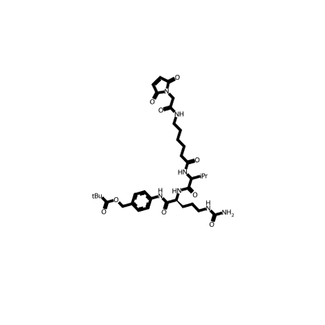 CC(C)C(NC(=O)CCCCCNC(=O)CN1C(=O)C=CC1=O)C(=O)N[C@@H](CCCNC(N)=O)C(=O)Nc1ccc(COC(=O)C(C)(C)C)cc1